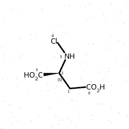 O=C(O)C[C@H](NCl)C(=O)O